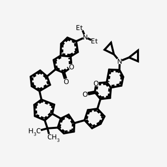 CCN(CC)c1ccc2cc(-c3cccc(-c4ccc5c(c4)-c4cc(-c6cccc(-c7cc8ccc(N(C9CC9)C9CC9)cc8oc7=O)c6)ccc4C5(C)C)c3)c(=O)oc2c1